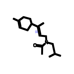 CC(=O)N(C/C=C(\C)C1CC=C(C)CC1)CC(C)C